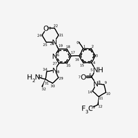 Cc1ccc(NC(=O)N2CC[C@@H](CC(F)(F)F)C2)cc1-c1cc(N2CCOCC2)nc(N2CC[C@](C)(N)C2)c1